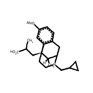 COc1ccc2c(c1)[C@@]1(CC(C)C(=O)O)CCN(CC3CC3)C(C2)[C@@H]1C